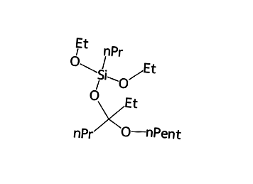 CCCCCOC(CC)(CCC)O[Si](CCC)(OCC)OCC